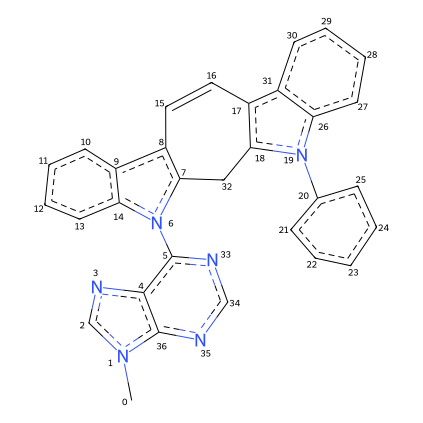 Cn1cnc2c(-n3c4c(c5ccccc53)C=Cc3c(n(-c5ccccc5)c5ccccc35)C4)ncnc21